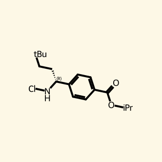 CC(C)OC(=O)c1ccc([C@@H](CCC(C)(C)C)NCl)cc1